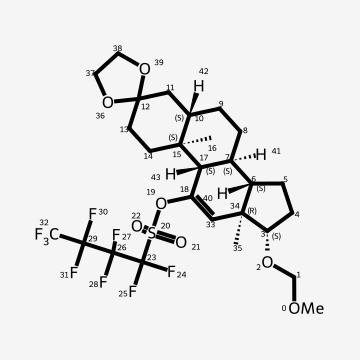 COCO[C@H]1CC[C@H]2[C@@H]3CC[C@H]4CC5(CC[C@]4(C)[C@H]3C(OS(=O)(=O)C(F)(F)C(F)(F)C(F)(F)C(F)(F)F)=C[C@]12C)OCCO5